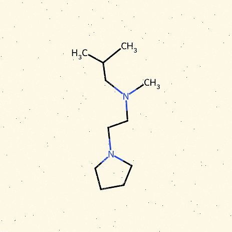 CC(C)CN(C)CCN1CCCC1